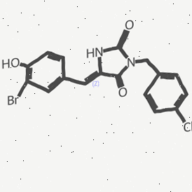 O=C1N/C(=C\c2ccc(O)c(Br)c2)C(=O)N1Cc1ccc(Cl)cc1